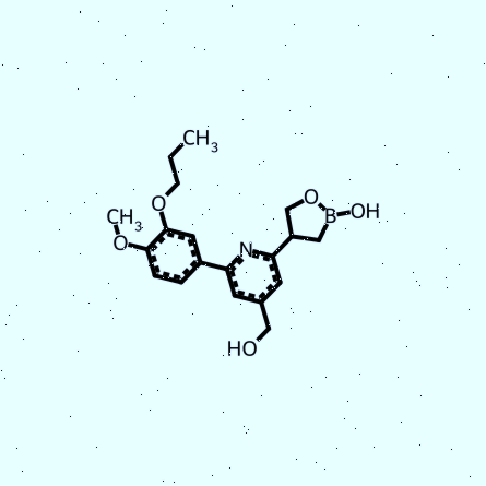 CCCOc1cc(-c2cc(CO)cc(C3COB(O)C3)n2)ccc1OC